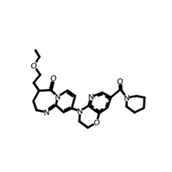 CCOCCC1CCN=C2C=C(N3CCOc4cc(C(=O)N5CCCCC5)cnc43)C=CN2C1=O